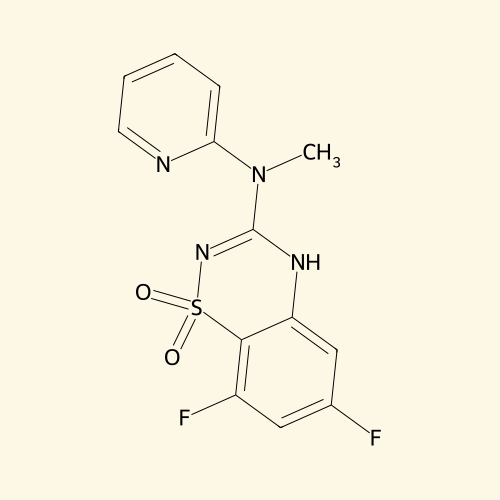 CN(C1=NS(=O)(=O)c2c(F)cc(F)cc2N1)c1ccccn1